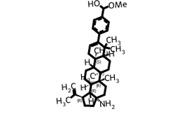 C=C(C)[C@@H]1CC[C@]2(N)CC[C@]3(C)[C@H](CC[C@@H]4[C@@]5(C)CC=C(c6ccc(C(O)OC)cc6)C(C)(C)[C@@H]5CC[C@]43C)[C@@H]12